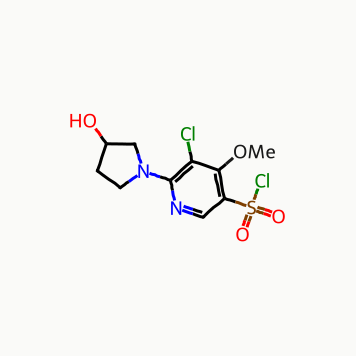 COc1c(S(=O)(=O)Cl)cnc(N2CCC(O)C2)c1Cl